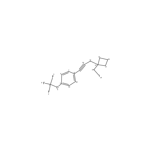 FC(F)(F)Oc1ccc(C#CCC2(CI)CCC2)cc1